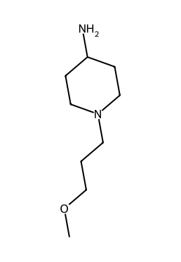 COCCCN1CCC(N)CC1